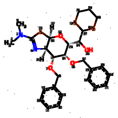 CN(C)C1=N[C@@H]2[C@@H](OCc3ccccc3)[C@@H](OCc3ccccc3)[C@@H](C(O)C3SCCCS3)O[C@@H]2S1